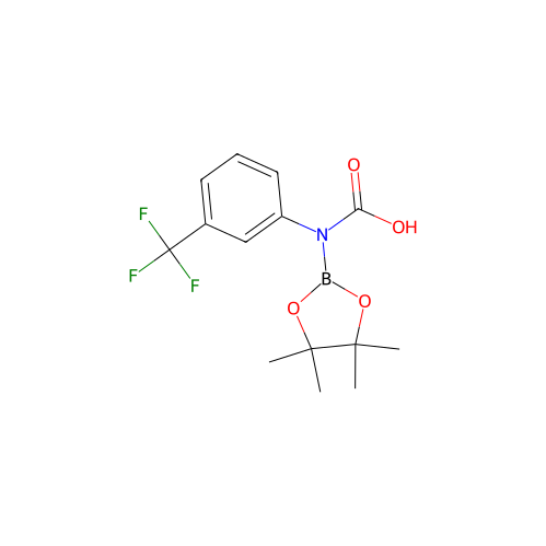 CC1(C)OB(N(C(=O)O)c2cccc(C(F)(F)F)c2)OC1(C)C